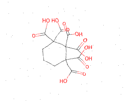 O=C(O)C1(C(=O)O)CCCC(C(=O)O)(C(=O)O)C1(C(=O)O)C(=O)O